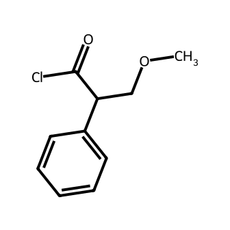 COCC(C(=O)Cl)c1ccccc1